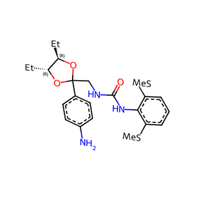 CC[C@H]1OC(CNC(=O)Nc2c(SC)cccc2SC)(c2ccc(N)cc2)O[C@@H]1CC